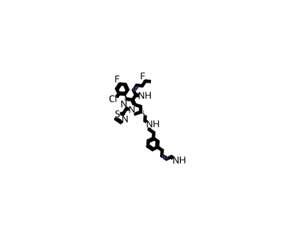 CC(F)C/C=C\C(=N)C1=C2C[C@H](CCNCCc3cccc(C/C=C\C=N)c3)CN2C(c2nccs2)=N[C@H]1c1ccc(F)cc1Cl